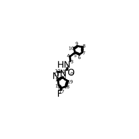 O=C(NCCc1ccccc1)n1cnc2cc(F)ccc21